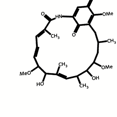 COC1=C2CC(C)CC(OC)C(O)C(C)/C=C(\C)C(O)C(OC)/C=C/C=C(\C)C(=O)NC(=CC1=O)C2=O